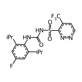 CC(C)c1cc(F)cc(C(C)C)c1NC(=O)NS(=O)(=O)c1nnccc1C(F)(F)F